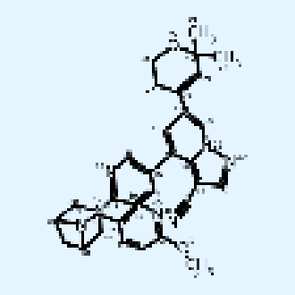 COc1ccc(CN2C3CC2CN(c2ccc(-c4cc(C5=CC(C)(C)OCC5)cn5ncc(C#N)c45)cn2)C3)cn1